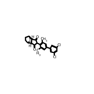 Cc1cc(-c2cc(Cl)cc(Cl)c2)cc(C)c1C1C(=O)[C@@H]2C3CCC(O3)[C@@H]2C1=O